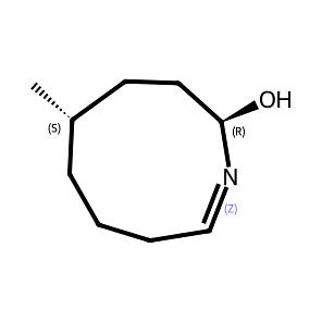 C[C@H]1CCC/C=N\[C@H](O)CC1